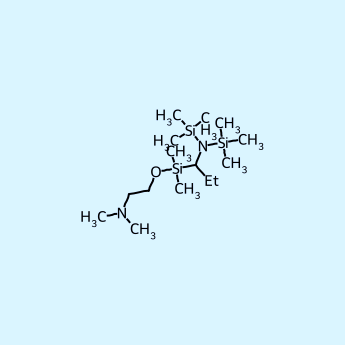 CCC(N([Si](C)(C)C)[Si](C)(C)C)[Si](C)(C)OCCN(C)C